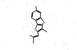 CC(C)=Cc1sc2c(sc3cc(C)ccc32)c1C